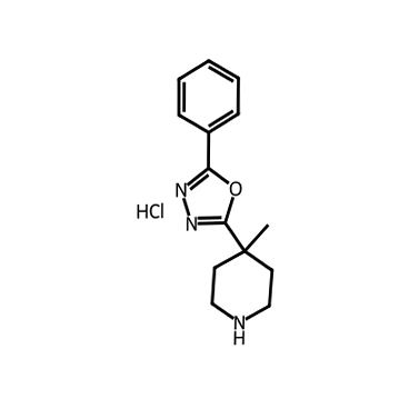 CC1(c2nnc(-c3ccccc3)o2)CCNCC1.Cl